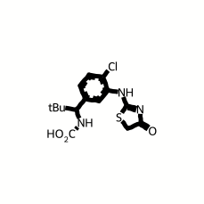 CC(C)(C)C(NC(=O)O)c1ccc(Cl)c(NC2=NC(=O)CS2)c1